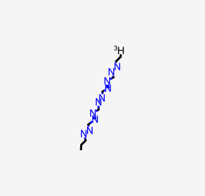 [3H]CCN=NCN=NCN=NCN=NCN=NCCC